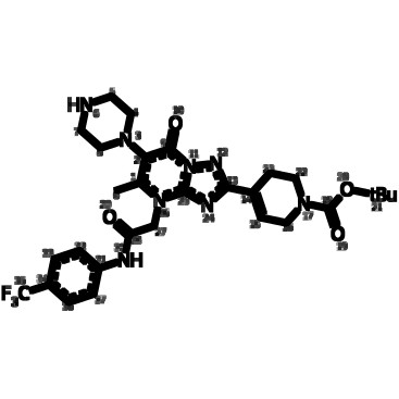 Cc1c(N2CCNCC2)c(=O)n2nc(C3=CCN(C(=O)OC(C)(C)C)CC3)nc2n1CC(=O)Nc1ccc(C(F)(F)F)cc1